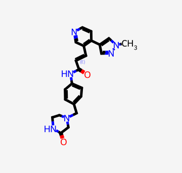 Cn1cc(-c2ccncc2/C=C/C(=O)Nc2ccc(CN3CCNC(=O)C3)cc2)cn1